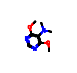 COc1ncnc(OC)c1N(C)C